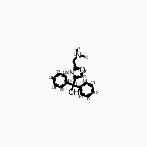 CN(C)Cc1nc(C(O)(c2ccccc2)c2ccccc2)co1